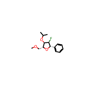 COC[C@H]1O[C@@H](c2ccccc2)[C@H](F)[C@@H]1OC(C)C